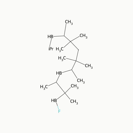 CC(C)BC(C)C(C)(C)CC(C)(C)C(C)BC(C)C(C)(C)BF